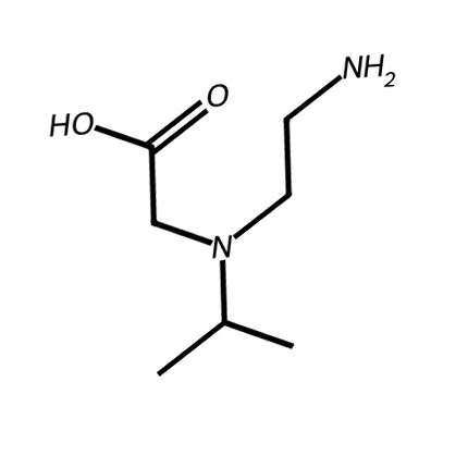 CC(C)N(CCN)CC(=O)O